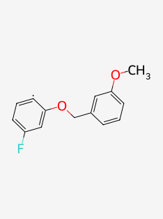 COc1cccc(COc2[c]ccc(F)c2)c1